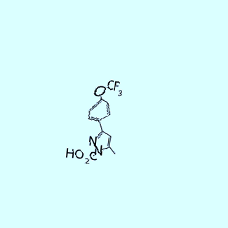 Cc1cc(-c2ccc(OC(F)(F)F)cc2)nn1C(=O)O